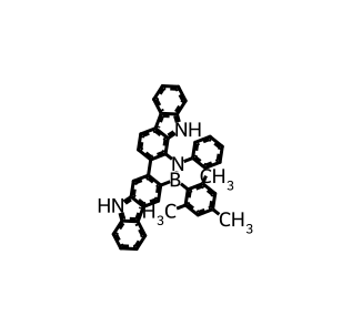 Cc1cc(C)c(B2c3cc4c(cc3-c3ccc5c([nH]c6ccccc65)c3N2c2ccccc2)[nH]c2ccccc24)c(C)c1